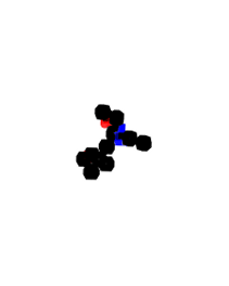 C1=C(c2ccc(-c3c4ccccc4c(-c4ccccc4-c4ccccc4)c4ccccc34)cc2)NC(c2ccc(-c3ccccc3)cc2)N=C(c2cccc3c2oc2ccccc23)C1